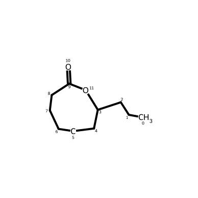 CCCC1CCCCCC(=O)O1